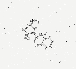 C=C(Nc1ccccc1F)c1cc(N)ccc1Cl